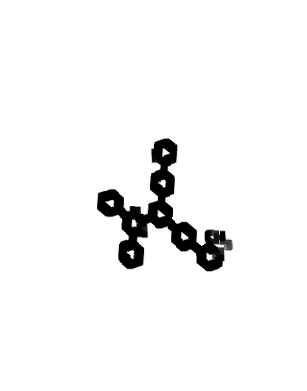 Cc1ncccc1-c1ccc(-c2cc(-c3ccc(-c4ccccn4)cc3)cc(-c3nc(-c4ccccc4)cc(-c4ccccc4)n3)c2)cc1